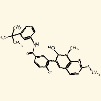 CSc1ncc2c(n1)N(C)C(O)C(c1cc(C(=O)Nc3cccc(C(C)(C)C)c3)ccc1Cl)=C2